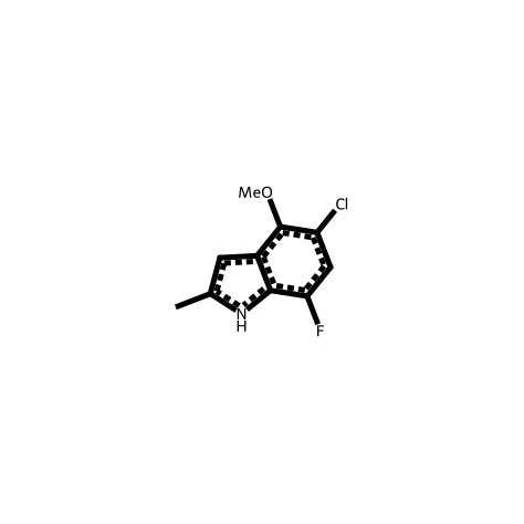 COc1c(Cl)cc(F)c2[nH]c(C)cc12